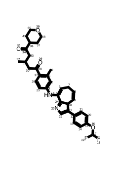 Cc1cc(NC2=CCC=CC3C(c4ccc(OC(F)F)cc4)=CN=C23)ccc1C(=O)CC(C)CC(=O)C1CCOCC1